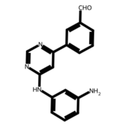 Nc1cccc(Nc2cc(-c3cccc(C=O)c3)ncn2)c1